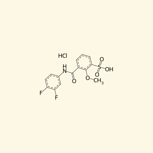 COc1c(C(=O)Nc2ccc(F)c(F)c2)cccc1S(=O)(=O)O.Cl